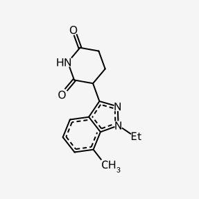 CCn1nc(C2CCC(=O)NC2=O)c2cccc(C)c21